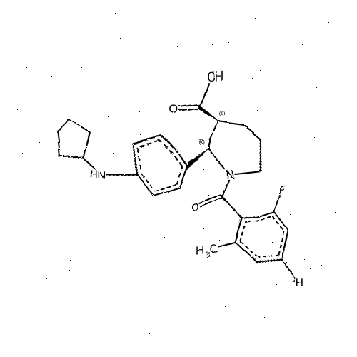 [2H]c1cc(C)c(C(=O)N2CCC[C@H](C(=O)O)[C@@H]2c2ccc(NC3CCCC3)cc2)c(F)c1